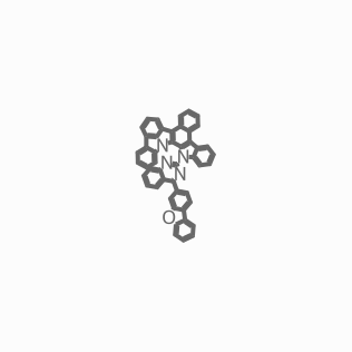 c1ccc2c(-c3ccc4c(c3)oc3ccccc34)nc(-n3c4ccccc4c4c5ccccc5c5c6cccc7c8ccccc8n(c76)c5c43)nc2c1